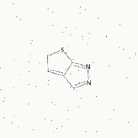 [C]1=NN=C2SCC=C12